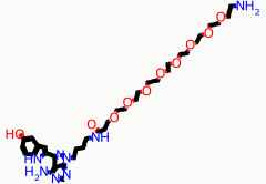 NCCOCCOCCOCCOCCOCCOCCOCCOCCC(=O)NCCCCn1nc(-c2cc3cc(O)ccc3[nH]2)c2c(N)ncnc21